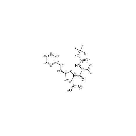 CC(C)[C@H](NC(=O)OC(C)(C)C)C(=O)N1C[C@H](OCc2ccccc2)C[C@H]1C(=O)O